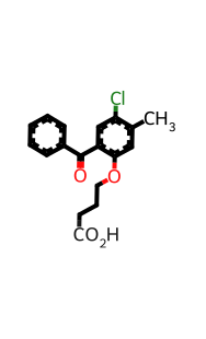 Cc1cc(OCCCC(=O)O)c(C(=O)c2ccccc2)cc1Cl